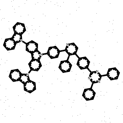 c1ccc(-c2nc(-c3ccccc3)nc(-c3ccc(-c4ccnc(-c5ccc(-n6c7ccc(-n8c9ccccc9c9ccccc98)cc7c7cc(-n8c9ccccc9c9ccccc98)ccc76)cc5)c4-c4ccccc4)cc3)n2)cc1